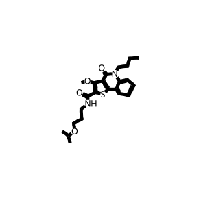 CCCCn1c(=O)c2c(OC)c(C(=O)NCCCOC(C)C)sc2c2ccccc21